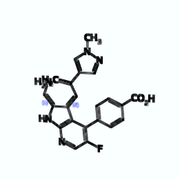 C=C(/C=c1\c(=C/N)[nH]c2ncc(F)c(-c3ccc(C(=O)O)cc3)c12)c1cnn(C)c1